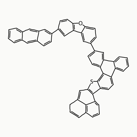 C1=Cc2cccc3c2c(cc2sc4c(ccc5c6ccccc6c6cc(-c7ccc8oc9ccc(-c%10ccc%11cc%12ccccc%12cc%11c%10)cc9c8c7)ccc6c54)c23)C1